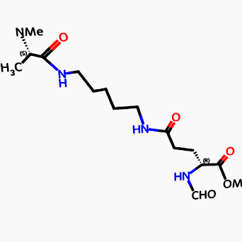 CN[C@@H](C)C(=O)NCCCCCNC(=O)CC[C@@H](NC=O)C(=O)OC